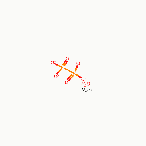 O.O=P([O-])([O-])P(=O)([O-])[O-].[Mn+4]